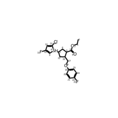 CCOC(=O)C1CC([SH]2C=C(F)C=C2Cl)CC1COc1ccc(F)cc1